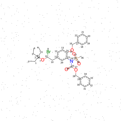 CC[Si](CC)(CC)OC(Br)Cc1ccc(OCc2ccccc2)c(N(C(=O)OCc2ccccc2)S(C)(=O)=O)c1